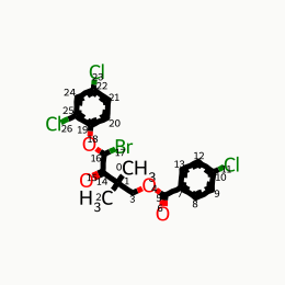 CC(C)(COC(=O)c1ccc(Cl)cc1)C(=O)C(Br)Oc1ccc(Cl)cc1Cl